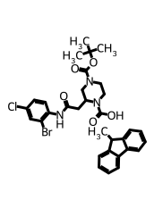 CC(C)(C)OC(=O)N1CCN(C(=O)O)C(CC(=O)Nc2ccc(Cl)cc2Br)C1.CC1c2ccccc2-c2ccccc21